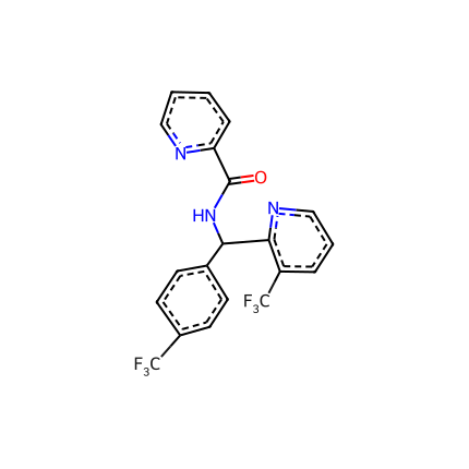 O=C(NC(c1ccc(C(F)(F)F)cc1)c1ncccc1C(F)(F)F)c1ccccn1